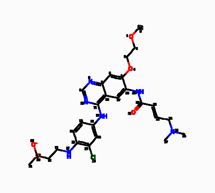 CCOCCOc1cc2ncnc(Nc3ccc(NCC[S+](C)[O-])c(Cl)c3)c2cc1NC(=O)/C=C/CN(C)C